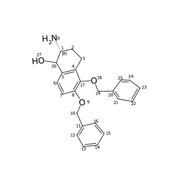 N[C@@H]1CCc2c(ccc(OCc3ccccc3)c2OCc2ccccc2)C1O